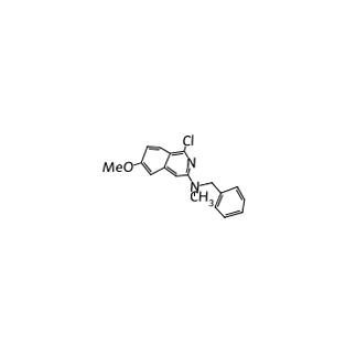 COc1ccc2c(Cl)nc(N(C)Cc3ccccc3)cc2c1